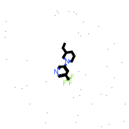 CCC1CCCN(c2cncc(C(F)(F)F)c2)C1